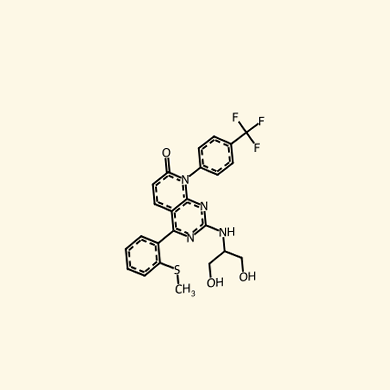 CSc1ccccc1-c1nc(NC(CO)CO)nc2c1ccc(=O)n2-c1ccc(C(F)(F)F)cc1